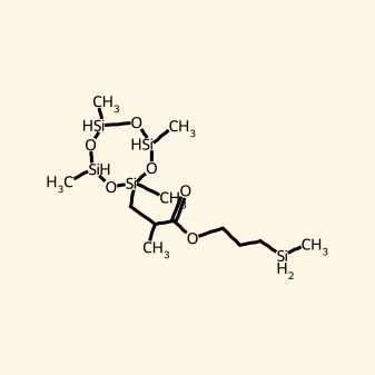 C[SiH2]CCCOC(=O)C(C)C[Si]1(C)O[SiH](C)O[SiH](C)O[SiH](C)O1